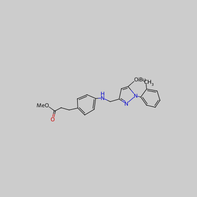 COC(=O)CCc1ccc(NCc2cc(OCC(C)C)n(-c3ccccc3C)n2)cc1